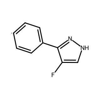 Fc1c[nH]nc1-c1cc[c]cc1